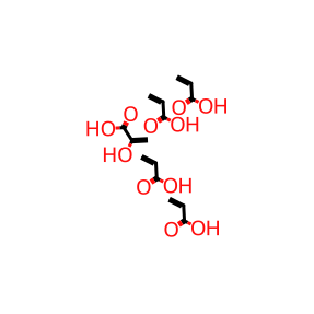 C=C(O)C(=O)O.C=CC(=O)O.C=CC(=O)O.C=CC(=O)O.C=CC(=O)O